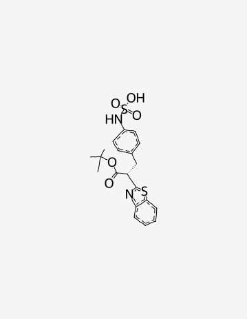 CC(C)(C)OC(=O)[C@H](Cc1ccc(NS(=O)(=O)O)cc1)c1nc2ccccc2s1